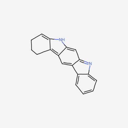 C1=c2[nH]c3cc4c(cc3c2CCC1)-c1ccccc1N=4